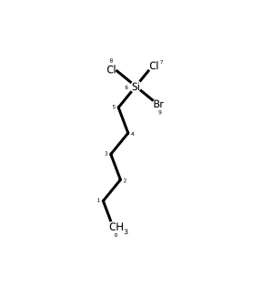 CCCCCC[Si](Cl)(Cl)Br